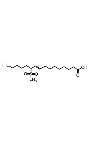 CCCCCC(/C=C/CCCCCCCC(=O)O)S(C)(=O)=O